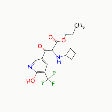 CCCOC(=O)C(NC1CCC1)C(=O)c1cnc(O)c(C(F)(F)F)c1